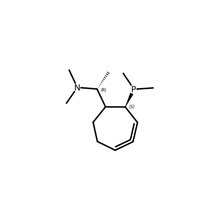 C[C@H](C1CCC=C=C[C@@H]1P(C)C)N(C)C